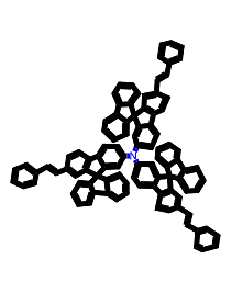 C(=C\c1ccc2c(c1)C1(c3ccccc3-c3ccccc31)c1cc(N(c3ccc4c(c3)C3(c5ccccc5-c5ccccc53)c3cc(/C=C/c5ccccc5)ccc3-4)c3ccc4c(c3)C3(c5ccccc5-c5ccccc53)c3cc(/C=C/c5ccccc5)ccc3-4)ccc1-2)/c1ccccc1